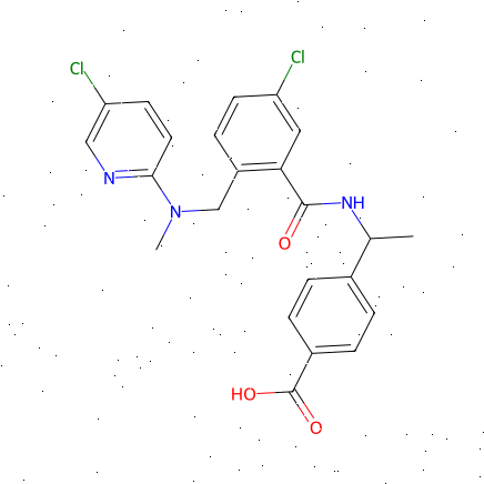 CC(NC(=O)c1cc(Cl)ccc1CN(C)c1ccc(Cl)cn1)c1ccc(C(=O)O)cc1